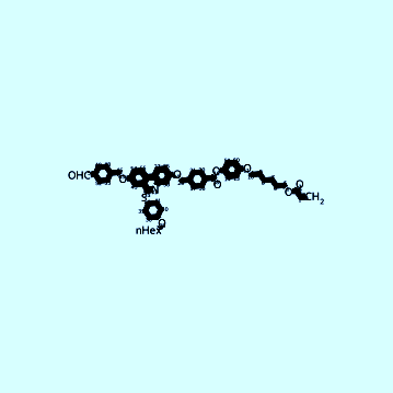 C=CC(=O)OCCCCCCOc1ccc(OC(=O)C2CCC(COc3ccc4c(c3)nc(SC3CCC(OCCCCCC)CC3)c3cc(OCC5CCC(C=O)CC5)ccc34)CC2)cc1